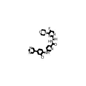 O=C(NNc1ncc(F)c(N2CCOCC2)n1)c1ccc(Nc2ccc(-c3cncnc3)cc2Cl)cn1